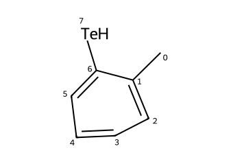 Cc1ccccc1[TeH]